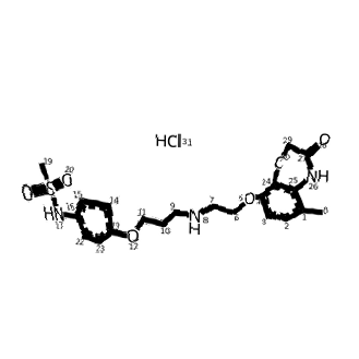 Cc1ccc(OCCNCCCOc2ccc(NS(C)(=O)=O)cc2)c2c1NC(=O)CC2.Cl